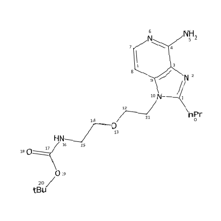 CCCc1nc2c(N)nccc2n1CCOCCNC(=O)OC(C)(C)C